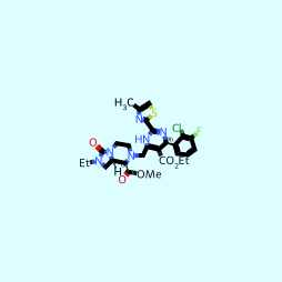 CCOC(=O)C1=C(CN2CCN3C(=O)N(CC)C[C@@H]3[C@H]2C(=O)OC)NC(c2nc(C)cs2)=N[C@H]1c1cccc(F)c1Cl